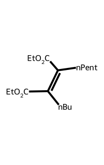 CCCCC/C(C(=O)OCC)=C(\CCCC)C(=O)OCC